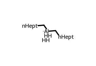 CCCCCCC[CH2][Al][CH2]CCCCCCC.[HH].[HH]